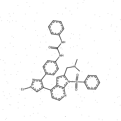 CCn1cc(-c2ccnc3c2cc(CN(C)C)n3S(=O)(=O)c2ccccc2)c(-c2ccc(NC(=O)Nc3ccccc3)cc2)n1